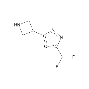 FC(F)c1nnc(C2CNC2)o1